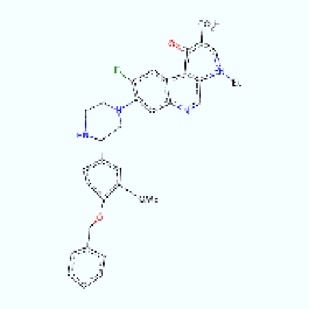 CCn1cc(C(=O)O)c(=O)c2c3cc(F)c(N4CCNC(c5ccc(OCc6ccccc6)c(OC)c5)C4)cc3ncc21